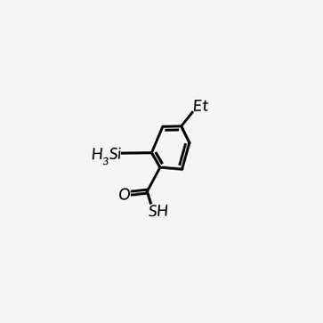 CCc1ccc(C(=O)S)c([SiH3])c1